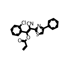 C=CC(=O)OC(=C(C#N)c1nc(-c2ccccc2)cs1)c1ccccc1Cl